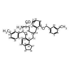 Cc1cccc(COc2ccccc2CN(CC[C@H](N)C(=O)O)Cc2c(OCc3cccc(C)c3)ccc3c2CCC3)c1